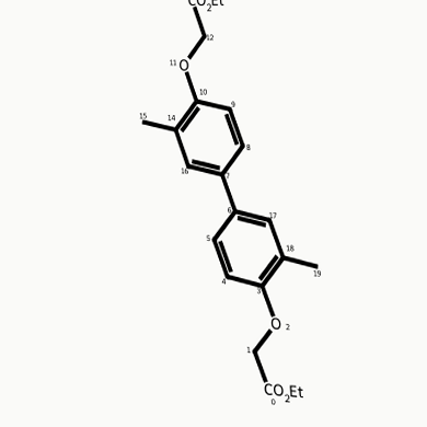 CCOC(=O)COc1ccc(-c2ccc(OCC(=O)OCC)c(C)c2)cc1C